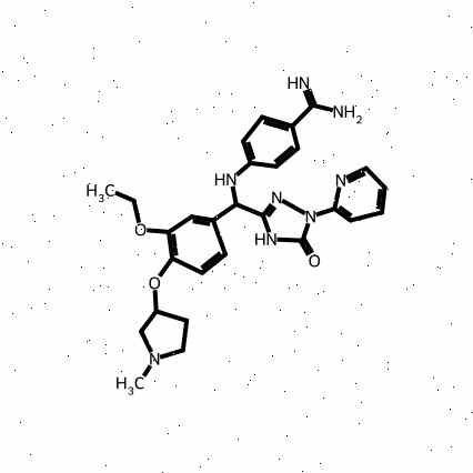 CCOc1cc(C(Nc2ccc(C(=N)N)cc2)c2nn(-c3ccccn3)c(=O)[nH]2)ccc1OC1CCN(C)C1